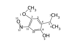 COc1cc(C(C)C)c(O)cc1N=O